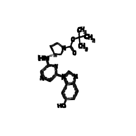 CC(C)(C)OC(=O)N1CC[C@@H](Nc2cncc(-n3cnc4ccc(O)cc43)n2)C1